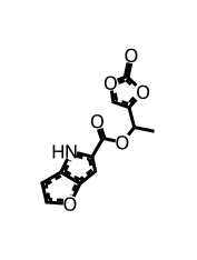 CC(OC(=O)c1cc2occc2[nH]1)c1coc(=O)o1